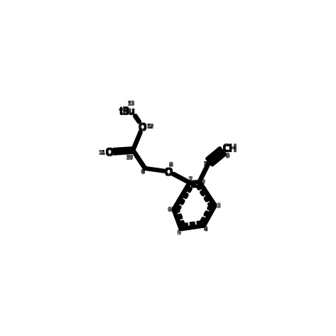 C#Cc1ccccc1OCC(=O)OC(C)(C)C